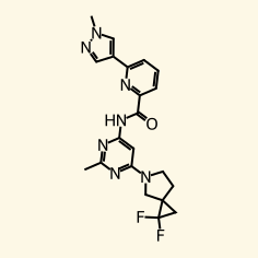 Cc1nc(NC(=O)c2cccc(-c3cnn(C)c3)n2)cc(N2CCC3(C2)CC3(F)F)n1